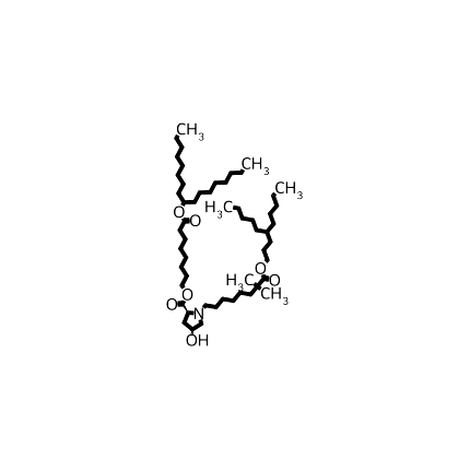 CCCCCCCCC(CCCCCCCC)OC(=O)CCCCCCCOC(=O)[C@@H]1C[C@H](O)CN1CCCCCCC(C)(C)C(=O)OCCCC(CCCCC)CCCCC